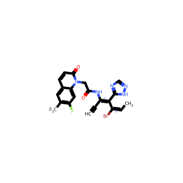 C#C/C(NC(=O)Cn1c(=O)ccc2cc(C(F)(F)F)c(F)cc21)=C(\C(Br)=C/C)c1ncn[nH]1